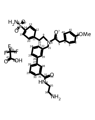 COc1ccc(CC(=O)N(CCc2ccc(S(N)(=O)=O)cc2)Cc2cccc(-c3cccc(C(=O)NCCN)c3)c2)cc1.O=C(O)C(F)(F)F